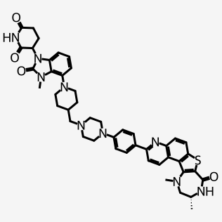 C[C@@H]1CN(C)c2c(sc3ccc4nc(-c5ccc(N6CCN(CC7CCN(c8cccc9c8n(C)c(=O)n9C8CCC(=O)NC8=O)CC7)CC6)cc5)ccc4c23)C(=O)N1